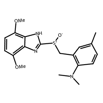 COc1ccc(OC)c2[nH]c([S+]([O-])Cc3cc(C)ccc3N(C)C)nc12